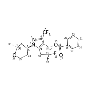 C[C@@H]1C[C@@H](n2nc(C(F)(F)F)c3c2CC(F)(F)[C@H]3OC(=O)c2ccccc2)CCO1